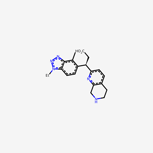 CCn1nnc2c(C)c([C@@H](CC(=O)O)c3ccc4c(n3)CNCC4)ccc21